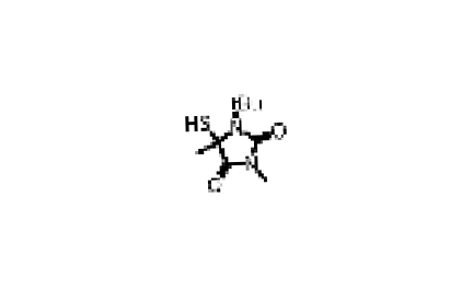 CN1C(=O)N(C(C)(C)C)C(C)(S)C1=O